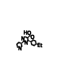 CCc1ccc2c(c1)OC(O)c1cnc(-c3cccnc3)nc1-2